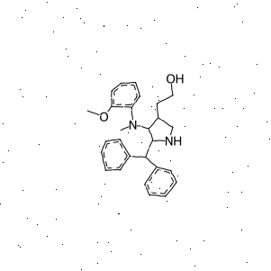 COc1ccccc1N(C)C1C(CCO)CNC1C(c1ccccc1)c1ccccc1